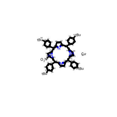 CC(C)(C)c1ccc(-c2c3nc(c(-c4ccc(C(C)(C)C)cc4)c4cc([N+](=O)[O-])c([nH]4)c(-c4ccc(C(C)(C)C)cc4)c4nc(c(-c5ccc(C(C)(C)C)cc5)c5ccc2[nH]5)C=C4)C=C3)cc1.[Cu]